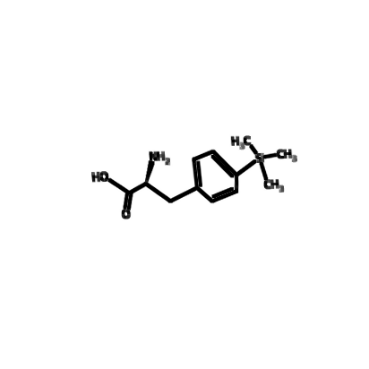 C[Si](C)(C)c1ccc(C[C@H](N)C(=O)O)cc1